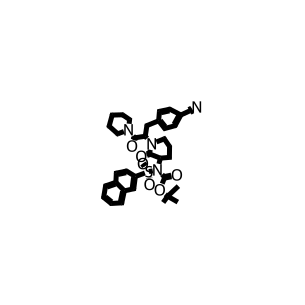 CC(C)(C)OC(=O)N(C1CCCN(C(Cc2ccc(C#N)cc2)C(=O)N2CCCCC2)C1=O)S(=O)(=O)c1ccc2ccccc2c1